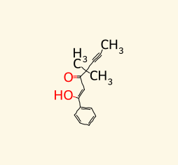 CC#CC(C)(C)C(=O)/C=C(\O)c1ccccc1